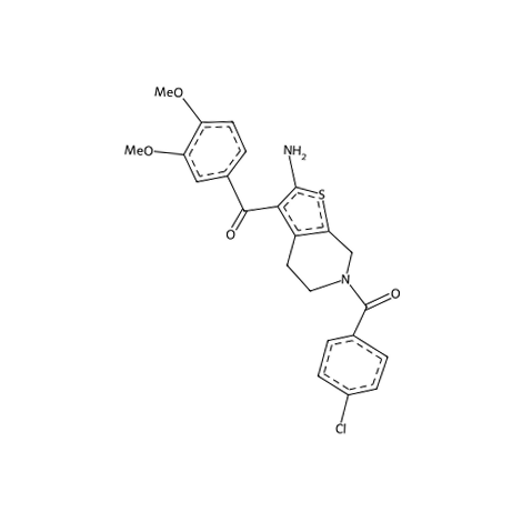 COc1ccc(C(=O)c2c(N)sc3c2CCN(C(=O)c2ccc(Cl)cc2)C3)cc1OC